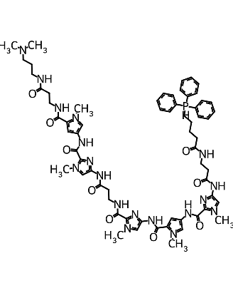 CN(C)CCCNC(=O)CCNC(=O)c1cc(NC(=O)c2nc(NC(=O)CCNC(=O)c3nc(NC(=O)c4cc(NC(=O)c5nc(NC(=O)CCNC(=O)CCCC[PH](c6ccccc6)(c6ccccc6)c6ccccc6)cn5C)cn4C)cn3C)cn2C)cn1C